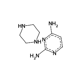 C1CNCCN1.Nc1ccnc(N)n1